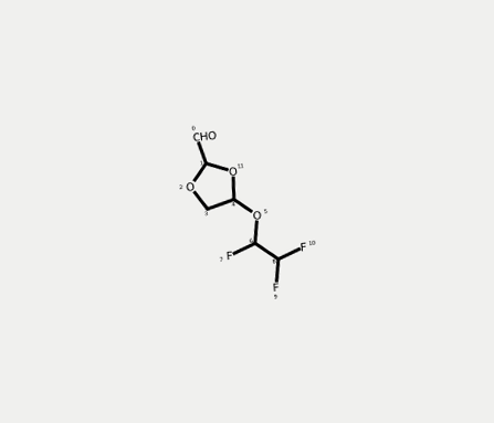 O=CC1OCC(OC(F)C(F)F)O1